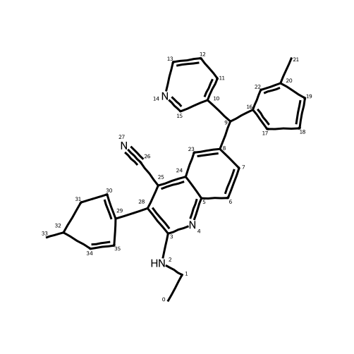 CCNc1nc2ccc(C(c3cccnc3)c3cccc(C)c3)cc2c(C#N)c1C1=CCC(C)C=C1